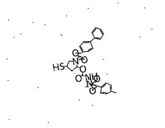 Cc1ccc(S(=O)(=O)N(C)NC(=O)O[C@H]2C[C@@H](S)CN2S(=O)(=O)c2ccc(-c3ccccc3)cc2)cc1